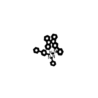 c1ccc(-c2ccc(-c3nc(-c4ccccc4)nc(-n4c5ccccc5c5cc6c(cc54)C4(c5ccccc5-c5ccccc54)c4ccccc4-6)n3)cc2)cc1